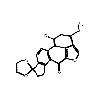 C[C@]12c3ccc4c(c3C(=O)c3occ(c31)C(OP)C[C@@H]2O)CCC41OCCO1